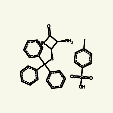 Cc1ccc(S(=O)(=O)O)cc1.N[C@@H]1C(=O)N[C@@H]1SC(c1ccccc1)(c1ccccc1)c1ccccc1